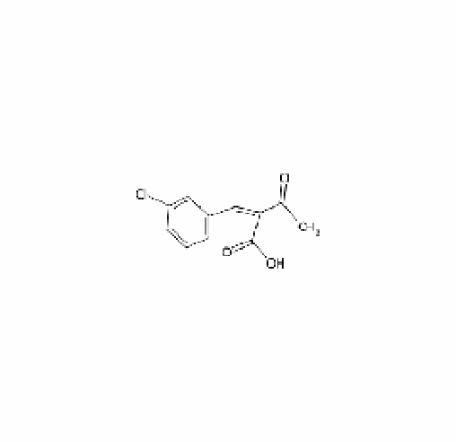 CC(=O)C(=Cc1cccc(Cl)c1)C(=O)O